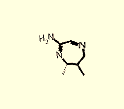 CC1CN=CC(N)=N[C@H]1C